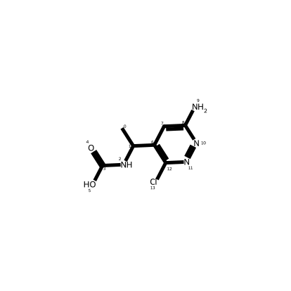 CC(NC(=O)O)c1cc(N)nnc1Cl